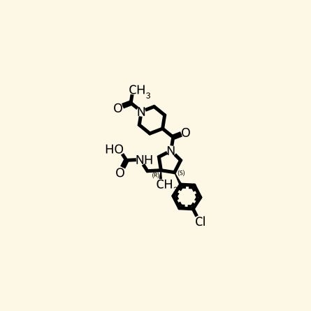 CC(=O)N1CCC(C(=O)N2C[C@@H](c3ccc(Cl)cc3)[C@](C)(CNC(=O)O)C2)CC1